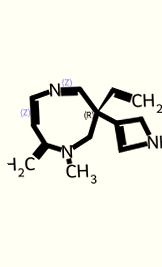 C=C[C@]1(C2=CNC2)/C=N\C=C/C(=C)N(C)C1